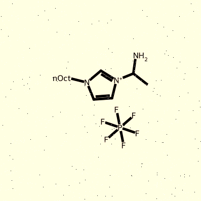 CCCCCCCCn1cc[n+](C(C)N)c1.F[P-](F)(F)(F)(F)F